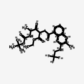 CCOC(=O)C(CC(=O)c1cccc2nc(C)c(NCC(F)(F)F)nc12)C(=O)C(C)NC(=O)OC(C)(C)C